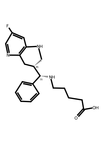 O=C(O)CCCCN[C@H](c1ccccc1)[C@H]1CNc2cc(F)cnc2C1